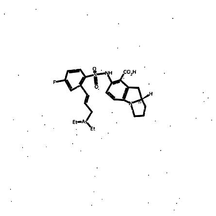 CC[As](CC)CC=Cc1cc(F)ccc1S(=O)(=O)Nc1ccc2c(c1C(=O)O)C[C@@H]1CCCN21